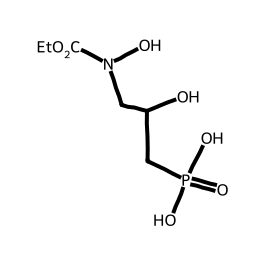 CCOC(=O)N(O)CC(O)CP(=O)(O)O